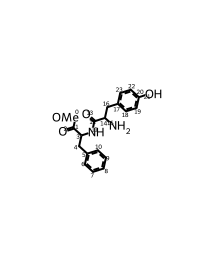 COC(=O)C(Cc1ccccc1)NC(=O)C(N)Cc1ccc(O)cc1